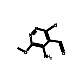 COc1nnc(Cl)c(C=O)c1N